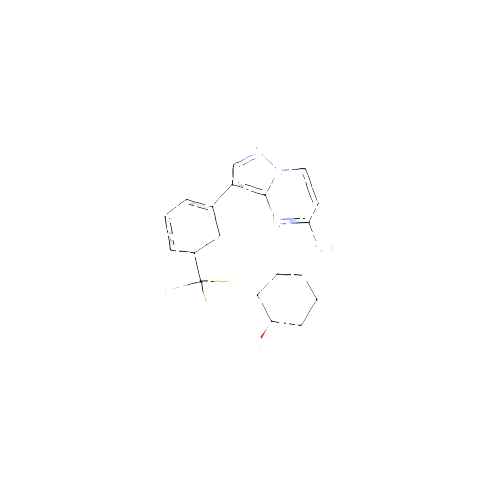 O[C@H]1CC[C@H](Nc2ccn3ncc(C4=CC=CC(C(F)(F)F)C4)c3n2)CC1